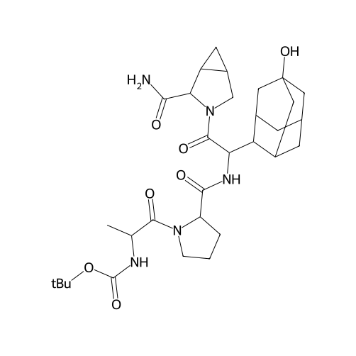 CC(NC(=O)OC(C)(C)C)C(=O)N1CCCC1C(=O)NC(C(=O)N1CC2CC2C1C(N)=O)C1C2CC3CC1CC(O)(C3)C2